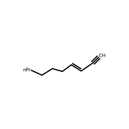 C#C/C=C/CCCCC[CH2]